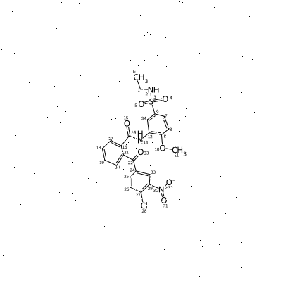 CCNS(=O)(=O)c1ccc(OC)c(NC(=O)c2ccccc2C(=O)c2ccc(Cl)c([N+](=O)[O-])c2)c1